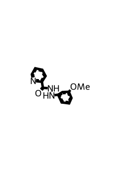 COc1cccc(NNC(=O)c2ccccn2)c1